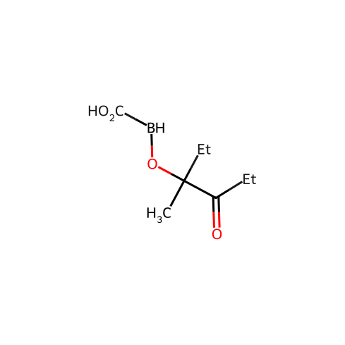 CCC(=O)C(C)(CC)OBC(=O)O